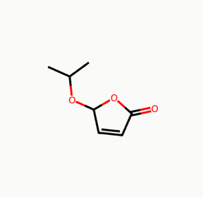 CC(C)OC1C=CC(=O)O1